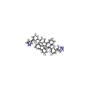 c1cc(-c2ccc3c(c2)C2(c4ccccc4-c4ccccc42)c2cc(-c4cccc(-c5cncs5)c4)c4ccccc4c2-3)cc(-c2cncs2)c1